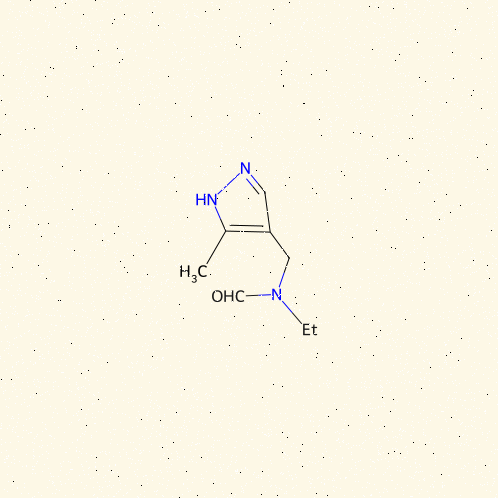 CCN(C=O)Cc1cn[nH]c1C